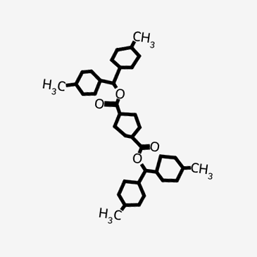 CC1CCC(C(OC(=O)C2CCC(C(=O)OC(C3CCC(C)CC3)C3CCC(C)CC3)CC2)C2CCC(C)CC2)CC1